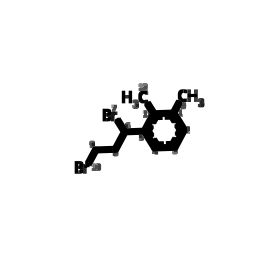 Cc1cccc(C(Br)CCBr)c1C